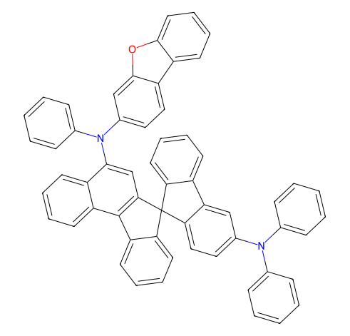 c1ccc(N(c2ccccc2)c2ccc3c(c2)-c2ccccc2C32c3ccccc3-c3c2cc(N(c2ccccc2)c2ccc4c(c2)oc2ccccc24)c2ccccc32)cc1